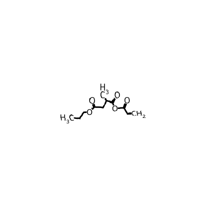 C=CC(=O)OC(=O)C(C)CC(=O)OCCC